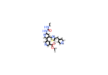 CCNC(=O)Nc1cc(-c2nc(Cc3ccncc3)cs2)c(-c2cncc(C(=O)OCC)c2)cn1